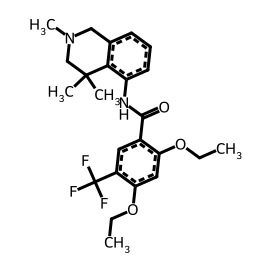 CCOc1cc(OCC)c(C(F)(F)F)cc1C(=O)Nc1cccc2c1C(C)(C)CN(C)C2